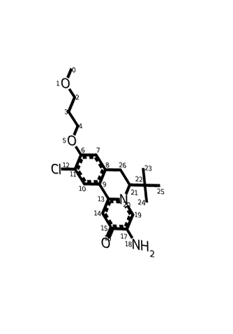 COCCCOc1cc2c(cc1Cl)-c1cc(=O)c(N)cn1C(C(C)(C)C)C2